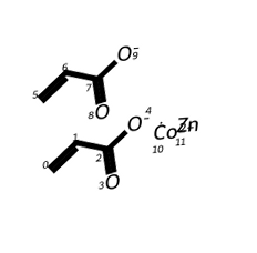 C=CC(=O)[O-].C=CC(=O)[O-].[Co+2].[Zn]